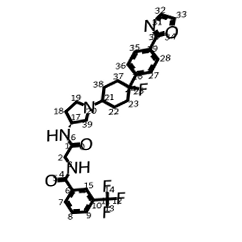 O=C(CNC(=O)c1cccc(C(F)(F)F)c1)N[C@@H]1CCN(C2CCC(F)(c3ccc(-c4ncco4)cc3)CC2)C1